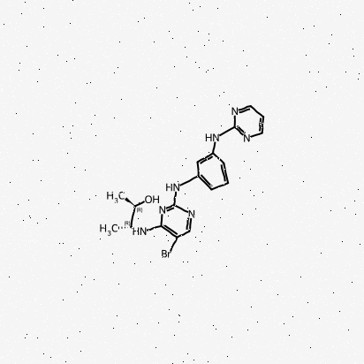 C[C@@H](O)[C@@H](C)Nc1nc(Nc2cccc(Nc3ncccn3)c2)ncc1Br